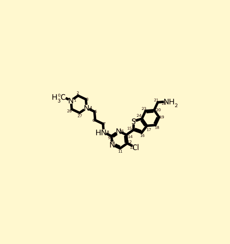 CN1CCN(CCCNc2ncc(Cl)c(-c3cc4ccc(CN)cc4s3)n2)CC1